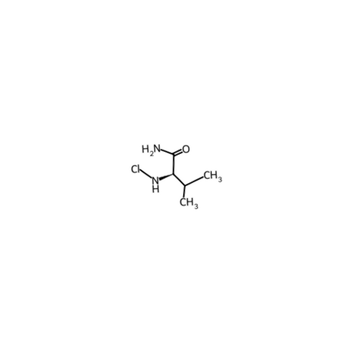 CC(C)[C@@H](NCl)C(N)=O